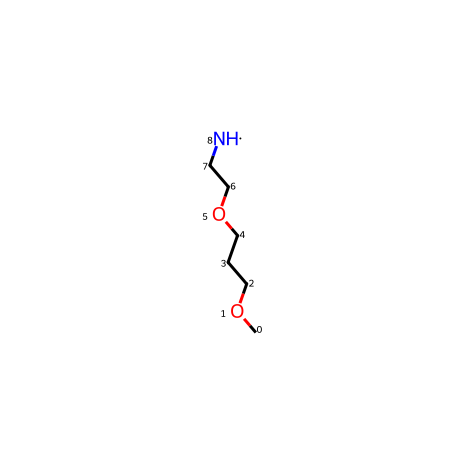 COCCCOCC[NH]